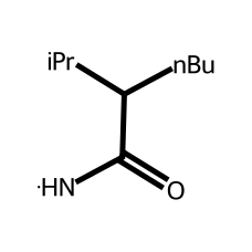 CCCCC(C([NH])=O)C(C)C